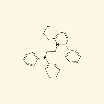 C1=CC(c2ccccc2)N(CCP(c2ccccc2)c2ccccc2)C2=C1CCCC2